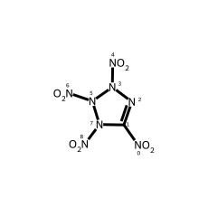 O=[N+]([O-])C1=NN([N+](=O)[O-])N([N+](=O)[O-])N1[N+](=O)[O-]